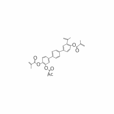 C=C(C)C(=O)Oc1ccc(-c2ccc(-c3ccc(OC(=O)C(=C)C)c(C(=C)C)c3)cc2)cc1OC(=O)C(C)=O